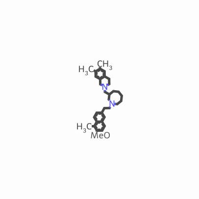 COc1ccc2cc(CCN3CCCCCC(CN4CCc5cc(C)c(C)cc5C4)C3)ccc2c1C